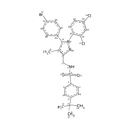 Cc1c(CNS(=O)(=O)c2ccc(C(C)(C)C)cc2)nn(-c2ccc(Cl)cc2Cl)c1-c1ccc(Br)cc1